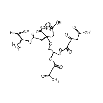 CC(=O)C(=O)OC(COC(=O)C(=O)CC(=O)O)COC(CC(=O)O)(CC(=O)OC(C)C(=O)O)C(=O)O